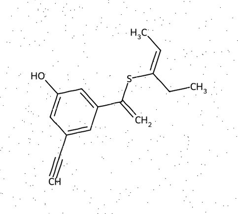 C#Cc1cc(O)cc(C(=C)S/C(=C\C)CC)c1